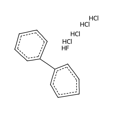 Cl.Cl.Cl.Cl.F.c1ccc(-c2ccccc2)cc1